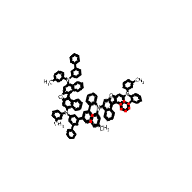 Cc1cccc(N(c2cccc(-c3ccccc3)c2)c2cc3oc4cc(N(c5cccc(C)c5)c5cc(-c6ccccc6)cc(-c6cccc(-c7ccccc7N(c7cccc(C)c7)c7cc8oc9cc(N(c%10cccc(C)c%10)c%10ccccc%10-c%10ccccc%10)c%10ccccc%10c9c8c8ccccc78)c6)c5)c5ccccc5c4c3c3ccccc23)c1